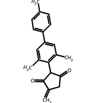 C=C1CC(=O)C(c2c(C)cc(-c3ccc(C)cc3)cc2C)C1=O